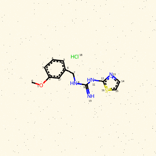 COc1cccc(CNC(=N)Nc2nccs2)c1.Cl